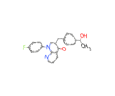 CC(O)c1ccc(Cc2cn(-c3ccc(F)cc3)c3ncccc3c2=O)cc1